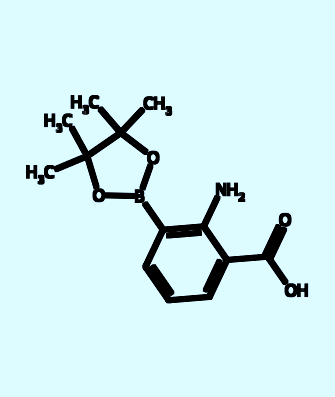 CC1(C)OB(c2cccc(C(=O)O)c2N)OC1(C)C